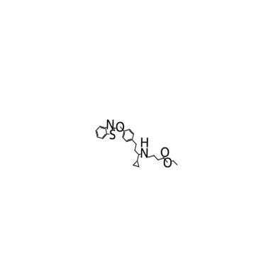 CCOC(=O)CCCNC(CCc1ccc(Oc2nc3ccccc3s2)cc1)C1CC1